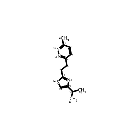 Cc1ccc(CCc2nc(C(C)C)cs2)nn1